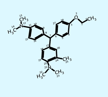 CCOc1ccc(C(c2ccc(N(C)C)cc2)c2ccc(N(C)C)c(C)c2)cc1